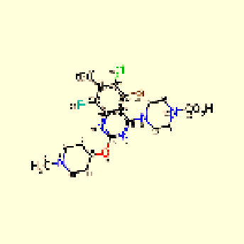 CN1CCC(Oc2nc(N3CCN(C(=O)O)CC3)c3c(Br)c(Cl)c(C(C)(C)C)c(F)c3n2)CC1